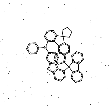 c1ccc(N(c2ccc3c(c2)sc2cccc(C4(c5ccccc5)c5ccccc5-c5ccccc54)c23)c2cccc3c2-c2ccccc2C32CCCC2)cc1